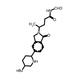 CCCCC1CCC(c2ccc3c(c2)CN(C(C)CCC(=O)NC=O)C3=O)NC1